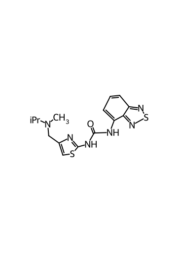 CC(C)N(C)Cc1csc(NC(=O)Nc2cccc3nsnc23)n1